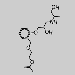 C=C(C)OCCOCc1ccccc1OCC(O)CNC(C)CO